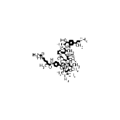 CCCC(C)c1ccc([C@H](O)[C@@H](C)NC(=O)[C@H](C)[C@@H](CC)[C@@H]2CCCN2C(=O)C[C@@H](OC)[C@H](C(C)CC)N(C)C(=O)[C@@H](NC(=O)[C@H](C(C)C)N(C)C(=O)OCc2ccc(NC(=O)[C@@H](C)CCCNC(N)=O)cc2)C(C)C)cc1